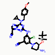 COc1ccc(CN(c2nc(Nc3cc(C#N)cc(N4CC[C@@H](N)[C@H](O[Si](C)(C)C(C)(C)C)C4)c3Cl)nn3c(C#N)cnc23)C2CC2)cc1